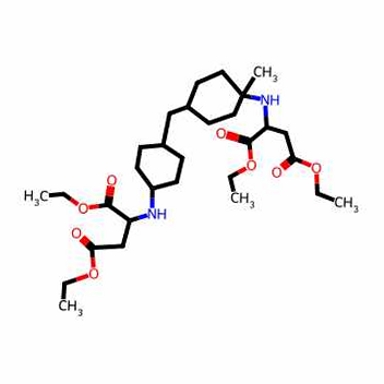 CCOC(=O)CC(NC1CCC(CC2CCC(C)(NC(CC(=O)OCC)C(=O)OCC)CC2)CC1)C(=O)OCC